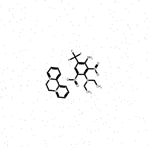 CCN(CC)c1c([N+](=O)[O-])cc(C(F)(F)F)c(N)c1[N+](=O)[O-].c1cc[n+]2c(c1)-c1cccc[n+]1CC2